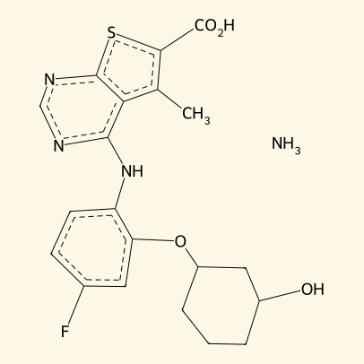 Cc1c(C(=O)O)sc2ncnc(Nc3ccc(F)cc3OC3CCCC(O)C3)c12.N